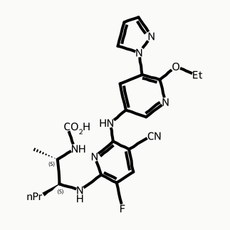 CCC[C@H](Nc1nc(Nc2cnc(OCC)c(-n3cccn3)c2)c(C#N)cc1F)[C@H](C)NC(=O)O